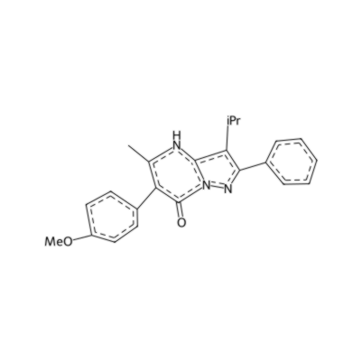 COc1ccc(-c2c(C)[nH]c3c(C(C)C)c(-c4ccccc4)nn3c2=O)cc1